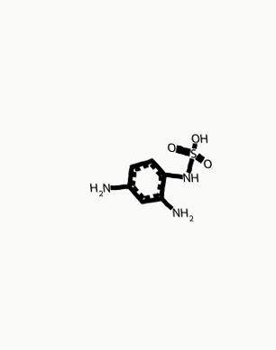 Nc1ccc(NS(=O)(=O)O)c(N)c1